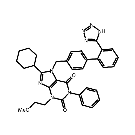 COCCn1c(=O)n(-c2ccccc2)c(=O)c2c1nc(C1CCCCC1)n2Cc1ccc(-c2ccccc2-c2nnn[nH]2)cc1